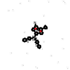 N#Cc1ccc2c(c1)c1cc(-c3ccccc3)ccc1n2-c1c(-c2ccccc2)cc(-c2nc(-c3ccc4c(c3)sc3ccccc34)nc(-c3ccc4c(c3)sc3ccccc34)n2)cc1-c1ccccc1